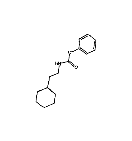 O=C(NCCC1CCCCC1)Oc1ccccc1